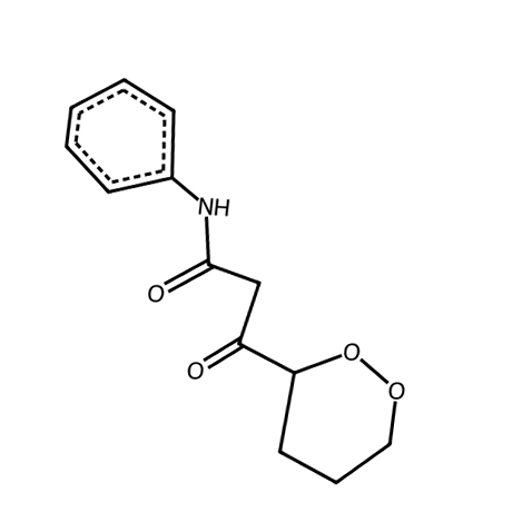 O=C(CC(=O)C1CCCOO1)Nc1ccccc1